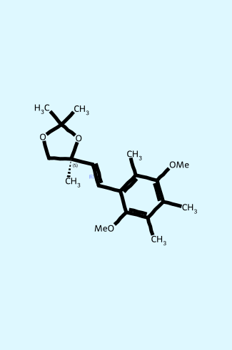 COc1c(C)c(C)c(OC)c(/C=C/[C@@]2(C)COC(C)(C)O2)c1C